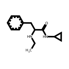 CCNC(Cc1ccccc1)C(=O)NC1CC1